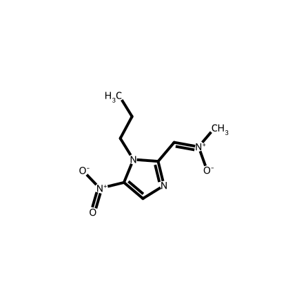 CCCn1c([N+](=O)[O-])cnc1C=[N+](C)[O-]